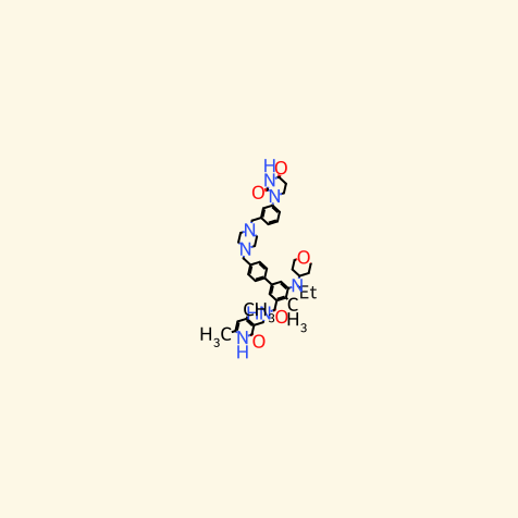 CCN(c1cc(-c2ccc(CN3CCN(Cc4cccc(N5CCC(=O)NC5=O)c4)CC3)cc2)cc(C(=O)NCc2c(C)cc(C)[nH]c2=O)c1C)C1CCOCC1